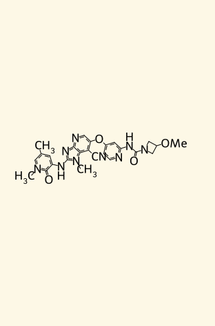 COC1CN(C(=O)Nc2cc(Oc3cnc4nc(Nc5cc(C)cn(C)c5=O)n(C)c4c3C#N)ccn2)C1